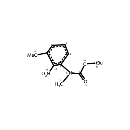 COc1cccc(N(C)C(=O)OC(C)(C)C)c1[N+](=O)[O-]